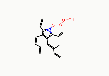 C=C/C=C\c1c(/C=C(\C)C=C)c(C=C)n(OOOO)c1C=C